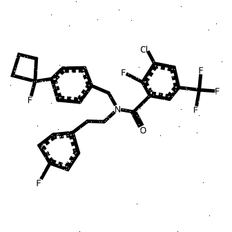 O=C(c1cc(C(F)(F)F)cc(Cl)c1F)N(CCc1ccc(F)cc1)Cc1ccc(C2(F)CCC2)cc1